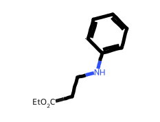 CCOC(=O)CCNc1[c]cccc1